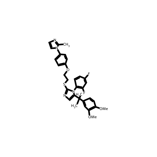 COc1ccc(C(C)(C)c2cnc(SCCOc3ccc(-n4ccnc4C)cc3)n2-c2ccc(F)cc2F)cc1OC